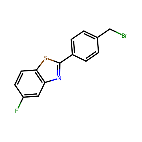 Fc1ccc2sc(-c3ccc(CBr)cc3)nc2c1